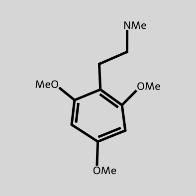 CNCCc1c(OC)cc(OC)cc1OC